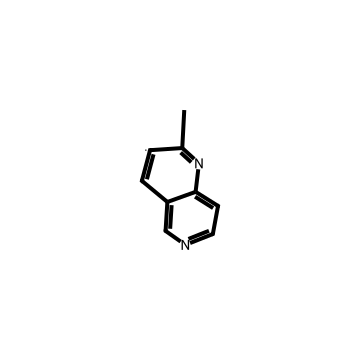 Cc1[c]cc2cnccc2n1